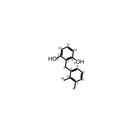 Cc1cccc(Cc2c(O)cccc2O)c1C